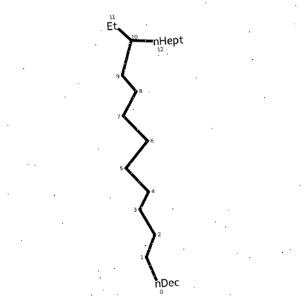 [CH2]CCCCCCCCCCCCCCCCCCC(CC)CCCCCC[CH2]